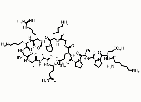 CC(C)[C@H](NC(=O)[C@H](CCCCN)NC(=O)[C@H](CCCNC(=N)N)NC(=O)[C@H]1CCCN1C(=O)[C@H](CCCCN)NC(=O)[C@H](C)NC(=O)[C@H](CCC(N)=O)NC(=O)[C@@H]1CCCN1C(=O)[C@@H](NC(=O)[C@@H]1CCCN1C(=O)[C@H](CCC(=O)O)NC(=O)[C@@H](N)CCCCN)C(C)C)C(=O)N[C@@H](C)C(=O)N[C@@H](C)C(=O)N[C@@H](CCC(N)=O)C(=O)O